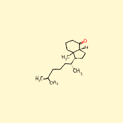 CC(C)CCC[C@@H](C)C1CC[C@H]2C(=O)CCCC12C